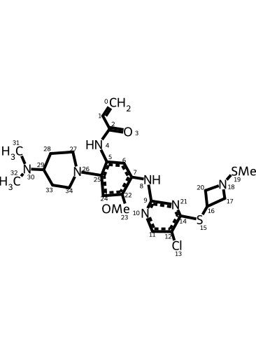 C=CC(=O)Nc1cc(Nc2ncc(Cl)c(SC3CN(SC)C3)n2)c(OC)cc1N1CCC(N(C)C)CC1